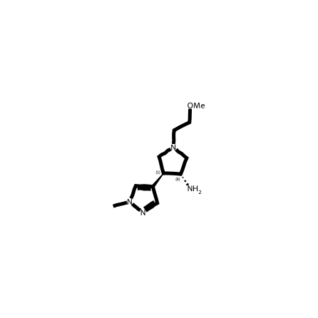 COCCN1C[C@H](c2cnn(C)c2)[C@@H](N)C1